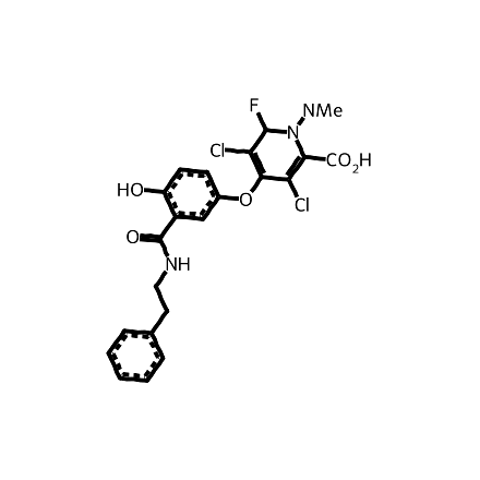 CNN1C(C(=O)O)=C(Cl)C(Oc2ccc(O)c(C(=O)NCCc3ccccc3)c2)=C(Cl)C1F